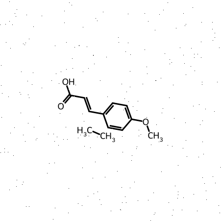 CC.COc1ccc(C=CC(=O)O)cc1